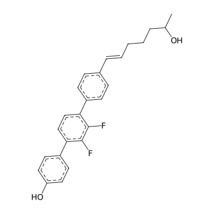 CC(O)CCCC=Cc1ccc(-c2ccc(-c3ccc(O)cc3)c(F)c2F)cc1